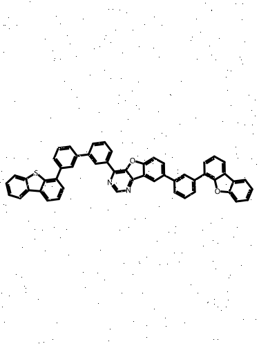 c1cc(-c2ccc3oc4c(-c5cccc(-c6cccc(-c7cccc8c7sc7ccccc78)c6)c5)ncnc4c3c2)cc(-c2cccc3c2oc2ccccc23)c1